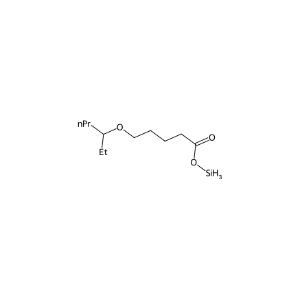 CCCC(CC)OCCCCC(=O)O[SiH3]